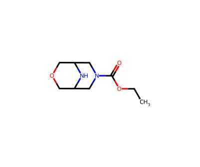 CCOC(=O)N1CC2COCC(C1)N2